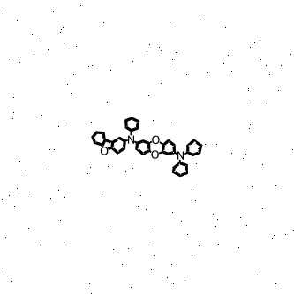 c1ccc(N(c2ccccc2)c2ccc3c(c2)Oc2ccc(N(c4ccccc4)c4ccc5oc6ccccc6c5c4)cc2O3)cc1